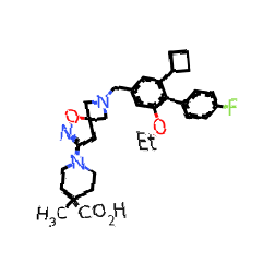 CCOc1cc(CN2CC3(CC(N4CCC(C)(C(=O)O)CC4)=NO3)C2)cc(C2CCC2)c1-c1ccc(F)cc1